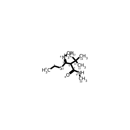 CCSC(=NO)C(C(=O)NC)C(C)(C)C